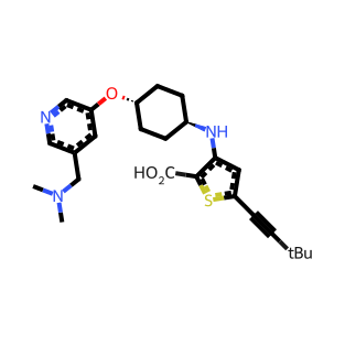 CN(C)Cc1cncc(O[C@H]2CC[C@H](Nc3cc(C#CC(C)(C)C)sc3C(=O)O)CC2)c1